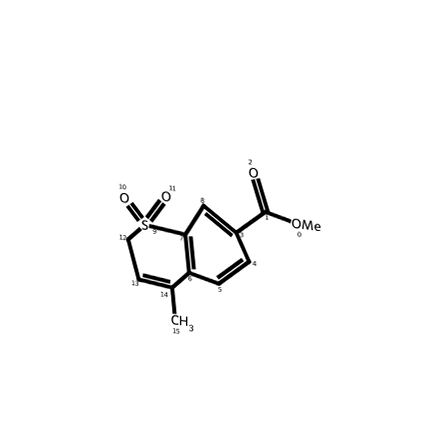 COC(=O)c1ccc2c(c1)S(=O)(=O)CC=C2C